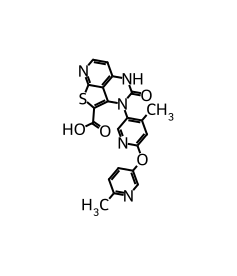 Cc1ccc(Oc2cc(C)c(N3C(=O)Nc4ccnc5sc(C(=O)O)c3c45)cn2)cn1